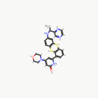 CC(Nc1ccc2c(c1)Sc1cccc(-c3cc(N4CCOCC4)cc(=O)[nH]3)c1S2)c1cnccn1